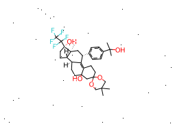 CC1(C)COC2(CCC3=C4[C@@H](CC[C@@]3(O)C2)[C@@H]2CC[C@@](O)(C(F)(F)C(F)(F)F)[C@@]2(C)C[C@@H]4c2ccc(C(C)(C)O)cc2)OC1